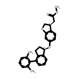 COC(=O)C[C@@H]1COc2cc(O[C@@H]3CCc4c(-c5c(C)cccc5C)cccc43)ccc21